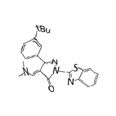 CN(C)/C=C1/C(=O)N(c2nc3ccccc3s2)N=C1c1cccc(C(C)(C)C)c1